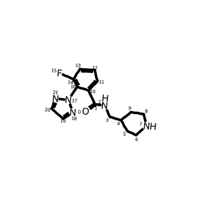 O=C(NCC1CCNCC1)c1cccc(F)c1-n1nccn1